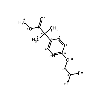 COC(=O)C(C)(C)c1ccc(OCC(F)F)nc1